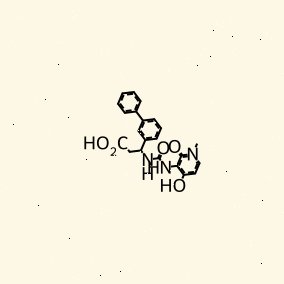 Cn1ccc(O)c(NC(=O)NC(CC(=O)O)c2cccc(-c3ccccc3)c2)c1=O